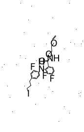 C=COCCONC(=O)c1ccc(F)c(F)c1Nc1ccc(CCCI)cc1F